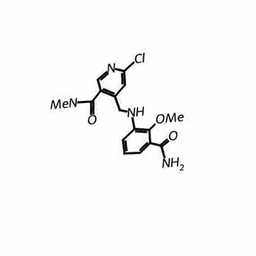 CNC(=O)c1cnc(Cl)cc1CNc1cccc(C(N)=O)c1OC